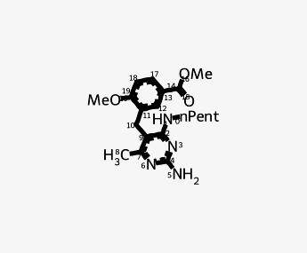 CCCCCNc1nc(N)nc(C)c1Cc1cc(C(=O)OC)ccc1OC